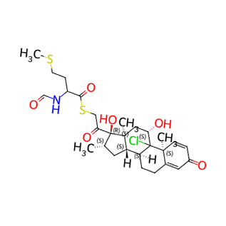 CSCCC(NC=O)C(=O)SCC(=O)[C@@]1(O)[C@@H](C)C[C@H]2[C@@H]3CCC4=CC(=O)C=C[C@]4(C)C3(Cl)[C@@H](O)C[C@@]21C